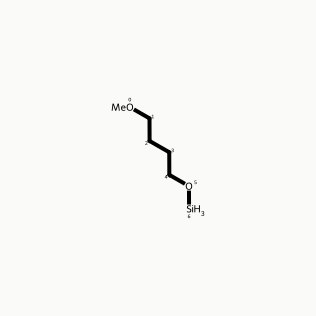 COCCC[CH]O[SiH3]